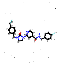 O=C(NCc1ccc(F)cc1)c1ccnc(N2CCN(Cc3ccc(CF)cc3)C2=O)c1